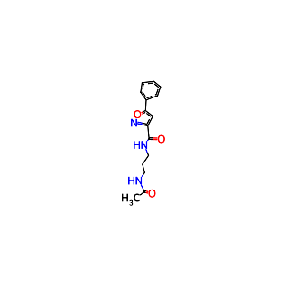 CC(=O)NCCCNC(=O)c1cc(-c2ccccc2)on1